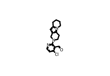 O=Cc1c(Cl)ccnc1N1CCc2c(cc3n2CCCC3)C1